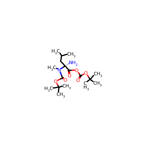 CC(C)C[C@@](N)(C(=O)OC(=O)OC(C)(C)C)N(C)C(=O)OC(C)(C)C